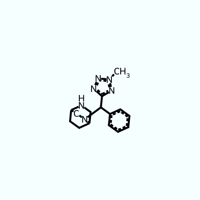 Cn1nnc(C(c2ccccc2)N2CC3CCC2CN3)n1